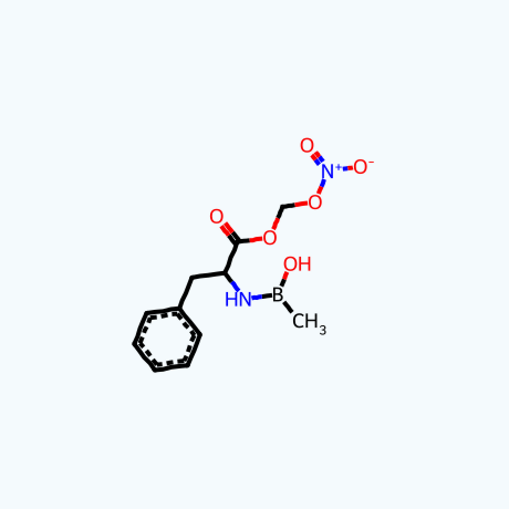 CB(O)NC(Cc1ccccc1)C(=O)OCO[N+](=O)[O-]